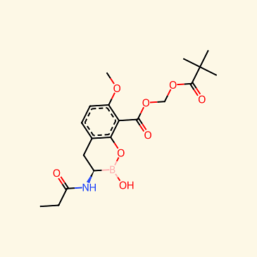 CCC(=O)N[C@H]1Cc2ccc(OC)c(C(=O)OCOC(=O)C(C)(C)C)c2OB1O